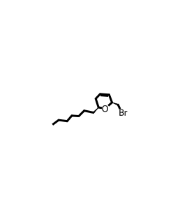 CCCCCCC[C@H]1CC=C[C@@H](CBr)O1